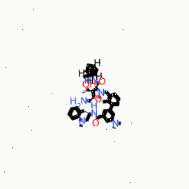 Cc1c(CN2O[C@@H](CN)[C@@H]([C@H](C)O)[C@H]2C(=O)N[C@H]2C[C@H]3C[C@@H]([C@@H]2C)C3(C)C)cccc1-c1cc(C(=O)N[C@@H](Cc2ccccc2)CN(C)C)cc(N(C)C)c1